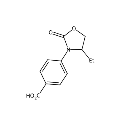 CCC1COC(=O)N1c1ccc(C(=O)O)cc1